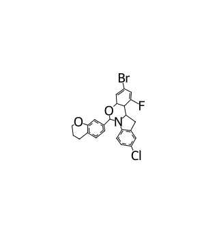 FC1=CC(Br)=CC2OC(c3ccc4c(c3)OCCC4)N3c4ccc(Cl)cc4CC3C12